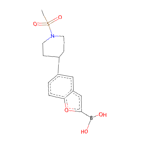 CS(=O)(=O)N1CCC(c2ccc3oc(B(O)O)cc3c2)CC1